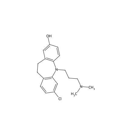 CN(C)CCCN1c2ccc(O)cc2CCc2ccc(Cl)cc21